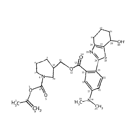 C=C(C)OC(=O)N1CCCC(COC(=O)c2cc(N(C)C)ccc2-c2nc3c(s2)C(O)CCC3)C1